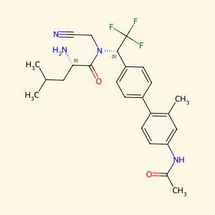 CC(=O)Nc1ccc(-c2ccc([C@H](N(CC#N)C(=O)[C@@H](N)CC(C)C)C(F)(F)F)cc2)c(C)c1